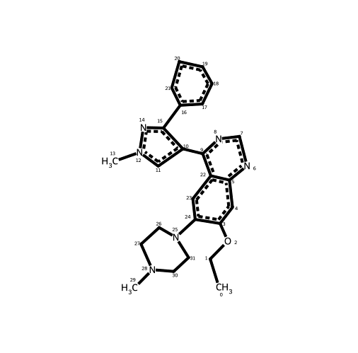 CCOc1cc2ncnc(-c3cn(C)nc3-c3ccccc3)c2cc1N1CCN(C)CC1